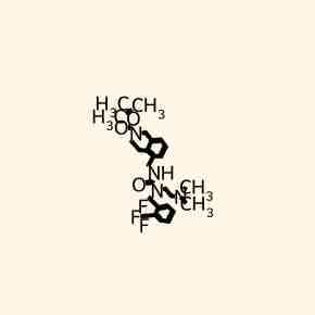 CN(C)CCN(Cc1ccccc1C(F)(F)F)C(=O)NCc1cccc2c1CCN(C(=O)OC(C)(C)C)C2